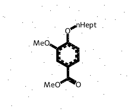 CCCCCCCOc1ccc(C(=O)OC)cc1OC